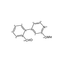 COc1cc(-c2ccccc2C=O)ccn1